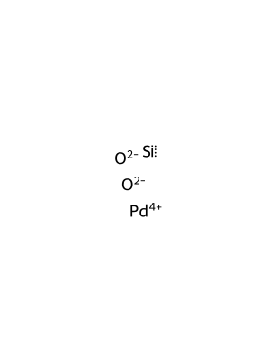 [O-2].[O-2].[Pd+4].[Si]